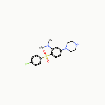 CCCN(CCC)c1cc(N2CCNCC2)ccc1S(=O)(=O)c1ccc(F)cc1